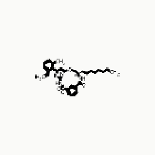 C=CCCCCCC[C@@H]1COc2cc(-c3c(C)cccc3C=C)nc(n2)NS(=O)(=O)c2cccc(c2)C(=O)N1